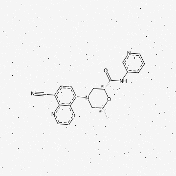 C[C@@H]1CN(c2ccc(C#N)c3ncccc23)C[C@H](C(=O)Nc2cccnc2)O1